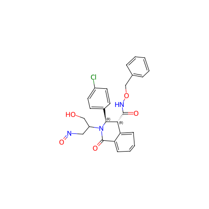 O=NCC(CO)N1C(=O)c2ccccc2[C@@H](C(=O)NOCc2ccccc2)[C@@H]1c1ccc(Cl)cc1